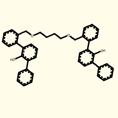 Oc1c(-c2ccccc2)cccc1-c1ccccc1COCCCCOCc1ccccc1-c1cccc(-c2ccccc2)c1O